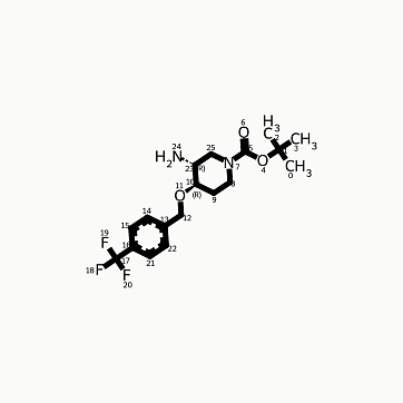 CC(C)(C)OC(=O)N1CC[C@@H](OCc2ccc(C(F)(F)F)cc2)[C@H](N)C1